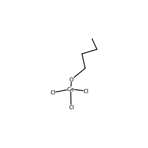 CCCC[O][Ge]([Cl])([Cl])[Cl]